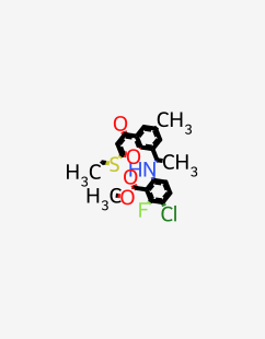 CCSc1cc(=O)c2cc(C)cc(C(C)Nc3ccc(Cl)c(F)c3C(=O)OC)c2o1